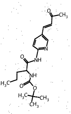 CCCC(NC(=O)OC(C)(C)C)C(=O)Nc1ccc(/C=C/C(C)=O)cn1